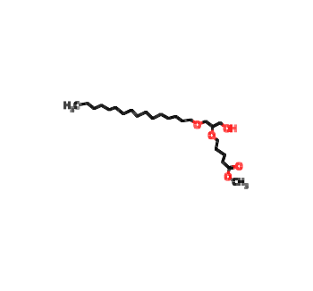 CCCCCCCCCCCCCCCCOCC(CO)OCCCCC(=O)OC